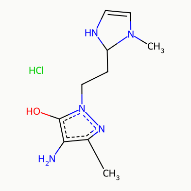 Cc1nn(CCC2NC=CN2C)c(O)c1N.Cl